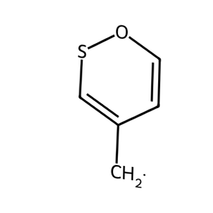 [CH2]C1=CSOC=C1